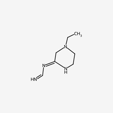 CCN1CCN/C(=N\C=N)C1